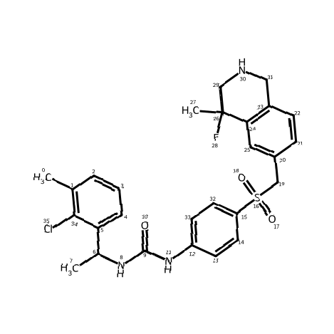 Cc1cccc(C(C)NC(=O)Nc2ccc(S(=O)(=O)Cc3ccc4c(c3)C(C)(F)CNC4)cc2)c1Cl